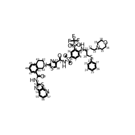 O=C(NS(=O)(=O)c1ccc(N[C@H](CCN2CCOCC2)CSc2ccccc2)c(S(=O)(=O)C(F)(F)F)c1)c1csc(N2CCc3cccc(C(=O)Nc4nc5cccnc5s4)c3C2)n1